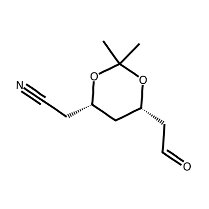 CC1(C)O[C@H](CC=O)C[C@H](CC#N)O1